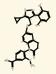 COc1cc(C(=O)O)ccc1N1C(=O)CCc2cc(OCc3c(-c4c(Cl)cccc4Cl)noc3C3CC3)ccc21